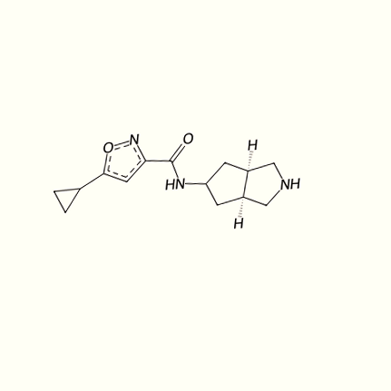 O=C(NC1C[C@H]2CNC[C@H]2C1)c1cc(C2CC2)on1